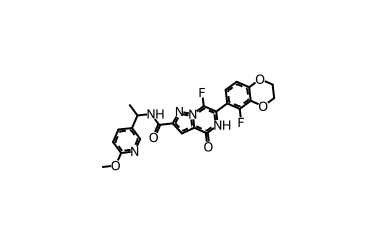 COc1ccc(C(C)NC(=O)c2cc3c(=O)[nH]c(-c4ccc5c(c4F)OCCO5)c(F)n3n2)cn1